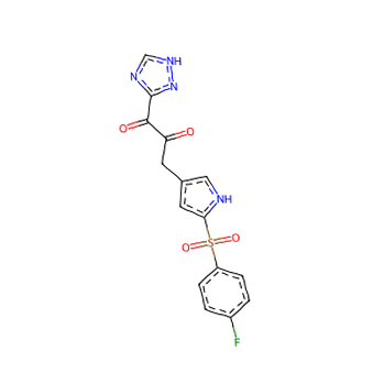 O=C(Cc1c[nH]c(S(=O)(=O)c2ccc(F)cc2)c1)C(=O)c1nc[nH]n1